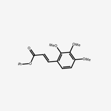 COc1ccc(C=CC(=O)OC(C)C)c(OC)c1OC